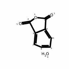 O.O=C1OC(=O)c2ccccc21